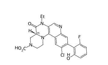 CCN1C(=O)[C@H]2CN(C(=O)O)CCN2c2c1cnc1cc(-c3c(O)cccc3F)c(Cl)cc21